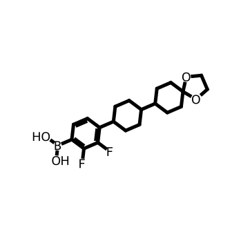 OB(O)c1ccc(C2CCC(C3CCC4(CC3)OCCO4)CC2)c(F)c1F